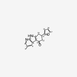 Cc1cnc2[nH]c3c(c2c1)C(=O)CC(c1ccco1)C3